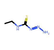 CCNC(=S)N=NN